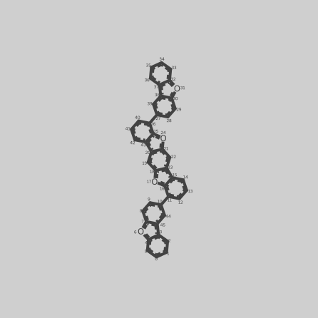 c1ccc2c(c1)oc1ccc(-c3cccc4c3oc3cc5c(cc34)oc3c(-c4ccc6oc7ccccc7c6c4)cccc35)cc12